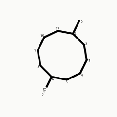 CC1CCCCC(F)CCCC1